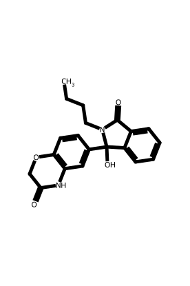 CCCCN1C(=O)c2ccccc2C1(O)c1ccc2c(c1)NC(=O)CO2